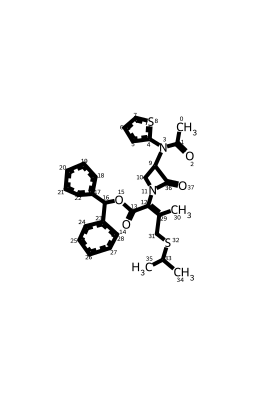 CC(=O)N(c1cccs1)C1CN(C(C(=O)OC(c2ccccc2)c2ccccc2)=C(C)CSC(C)C)C1=O